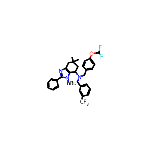 CCCCn1c(-c2ccccc2)nc2c1C(N(Cc1ccc(OC(F)F)cc1)Cc1cccc(C(F)(F)F)c1)CC(C)(C)C2